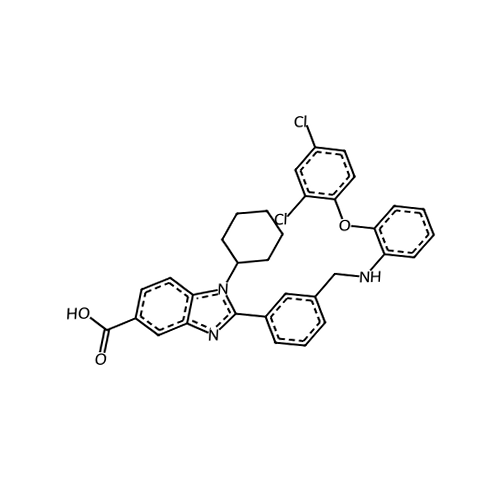 O=C(O)c1ccc2c(c1)nc(-c1cccc(CNc3ccccc3Oc3ccc(Cl)cc3Cl)c1)n2C1CCCCC1